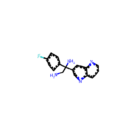 NCC(N)(c1ccc(F)cc1)c1cnc2cccnc2c1